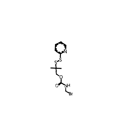 CC(C)(COC(=O)NCBr)SSc1ccccn1